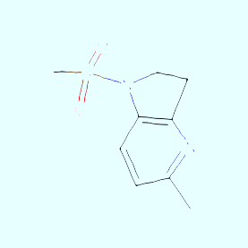 Cc1ccc2c(n1)CCN2S(C)(=O)=O